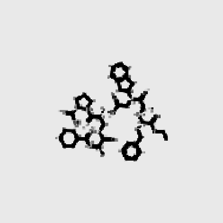 CCOC(=O)[C@H](CCc1ccccc1)N[C@@H](C)C(=O)N(CC(=O)O)C1Cc2ccccc2C1.C[C@H](CSC(=O)[C@@H](C)NC(=O)C1CCCCC1)C(=O)N1CCC[C@H]1C(=O)O